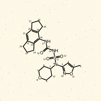 Cc1cc(N(C2CCOCC2)S(=O)(=O)NC(=O)Nc2c3c(cc4c2CCC4)CCC3)no1